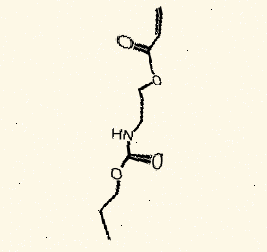 C=CC(=O)OCCNC(=O)OCCC